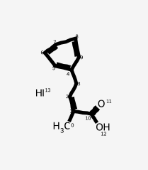 CC(=CCc1ccccc1)C(=O)O.I